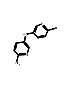 FC(F)(F)c1ccc(Nc2ccc(Br)nc2)cn1